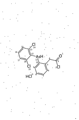 Cl.O=C(Cl)Cc1ccccc1[AsH]c1c(Cl)cccc1Cl